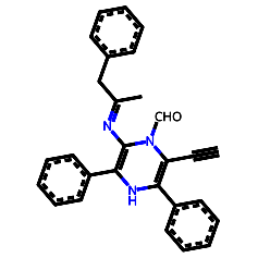 C#CC1=C(c2ccccc2)NC(c2ccccc2)=C(/N=C(\C)Cc2ccccc2)N1C=O